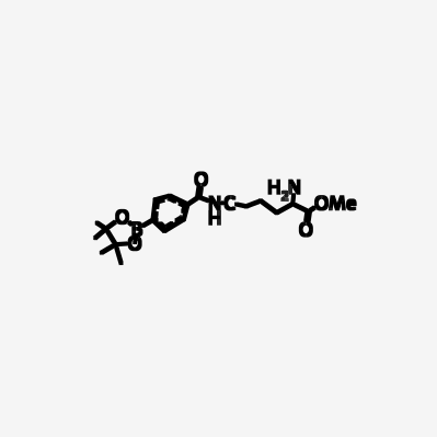 COC(=O)C(N)CCCCNC(=O)c1ccc(B2OC(C)(C)C(C)(C)O2)cc1